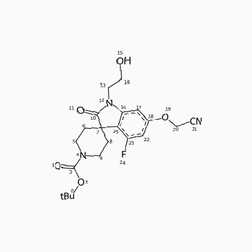 CC(C)(C)OC(=O)N1CCC2(CC1)C(=O)N(CCO)c1cc(OCC#N)cc(F)c12